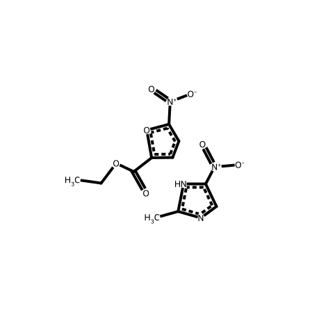 CCOC(=O)c1ccc([N+](=O)[O-])o1.Cc1ncc([N+](=O)[O-])[nH]1